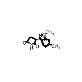 Cc1ccc2c([C@@H]3CCC(=O)NC3=O)nn(C)c2c1